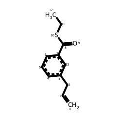 C=CCc1cccc(C(=O)SCC)c1